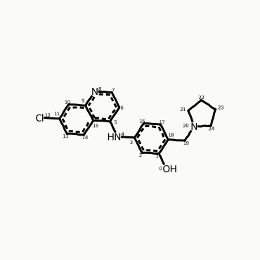 Oc1cc(Nc2ccnc3cc(Cl)ccc23)ccc1CN1CCCC1